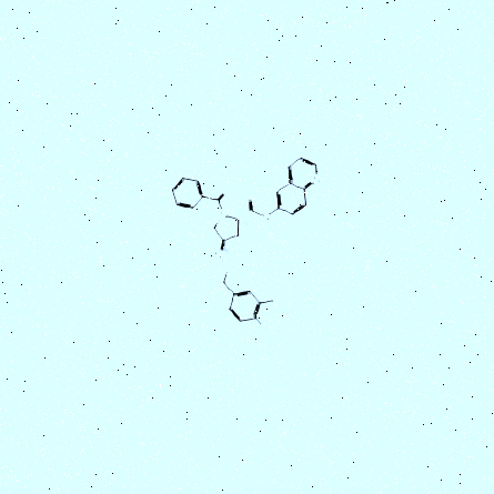 O=C(Nc1ccc2ncccc2c1)[C@@H]1C/C(=N\OCc2ccc(Cl)c(Cl)c2)CN1C(=O)c1ccccc1